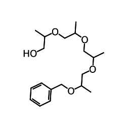 CC(CO)OCC(C)OCC(C)OCC(C)OCc1ccccc1